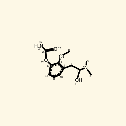 COc1c(CC(O)N(C)C)cccc1OC(N)=O